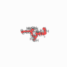 Cc1c(-c2ccc(N3CCc4cccc(C(=O)Nc5nc6ncccc6s5)c4C3)nc2C(=O)O)cnn1CC12CC3(C)CC(C)(C1)CC(OCCN(CCCP(=O)(O)O)C1CCN(C(=O)OCCCc4ccc(O[C@@H]5O[C@H](C(=O)O)[C@@H](O)[C@H](O)[C@H]5O)c(NC(=O)CCNC(=O)CCCCCN5C(=O)C=CC5=O)c4)CC1)(C3)C2